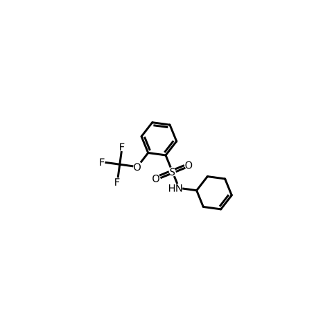 O=S(=O)(NC1CC=CCC1)c1ccccc1OC(F)(F)F